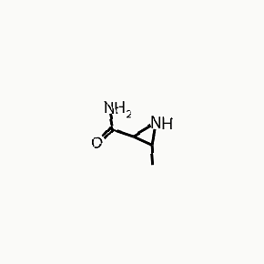 CC1NC1C(N)=O